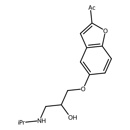 CC(=O)c1cc2cc(OCC(O)CNC(C)C)ccc2o1